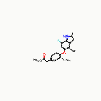 COC(=O)Cc1ccc(Oc2cc(F)c3[nH]c(C)cc3c2N=O)c(OC)c1